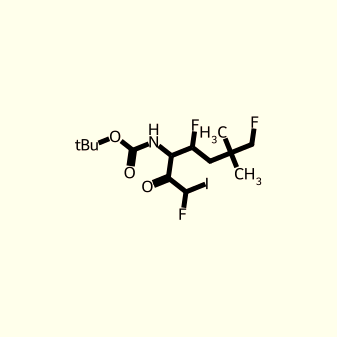 CC(C)(CF)CC(F)C(NC(=O)OC(C)(C)C)C(=O)C(F)I